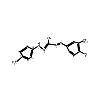 N#CC(/N=N/c1ccc(Cl)c(C(F)(F)F)c1)=N\Nc1ccc(C(F)(F)F)cc1